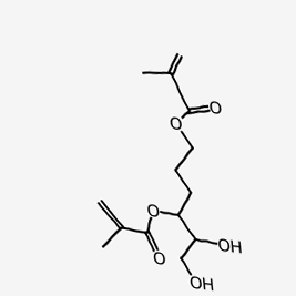 C=C(C)C(=O)OCCCC(OC(=O)C(=C)C)C(O)CO